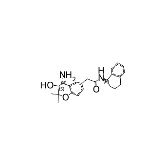 CC1(C)Oc2ccc(CC(=O)N[C@@H]3CCCc4ccccc43)cc2[C@@H](N)[C@@H]1O